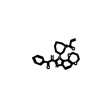 C=CC(=O)N1CCCC[C@@H](n2c(NC(=O)c3ccccc3)nc3ccc4c(c32)OCCCO4)C1